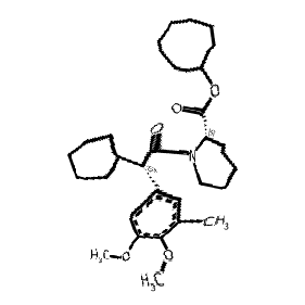 COc1cc([C@@H](C(=O)N2CCCC[C@H]2C(=O)OC2CCCCCC2)C2CCCCC2)cc(C)c1OC